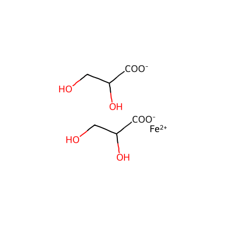 O=C([O-])C(O)CO.O=C([O-])C(O)CO.[Fe+2]